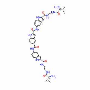 CC(C)[C@H](N)C(=O)NCCNC(=O)c1cc2cc(NC(=O)c3ccc4[nH]c(C(=O)Nc5ccc6[nH]c(C(=O)NCCNC(=O)[C@@H](N)C(C)C)cc6c5)cc4c3)ccc2[nH]1